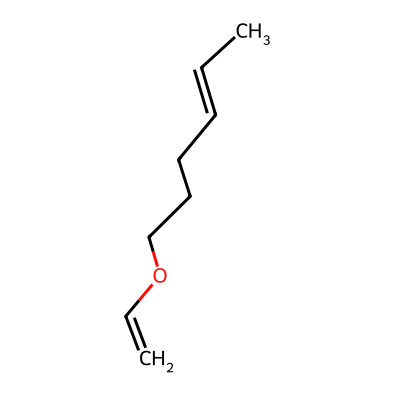 C=COCCCC=CC